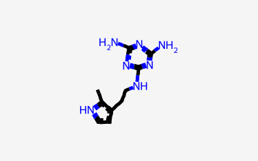 Cc1[nH]ccc1CCNc1nc(N)nc(N)n1